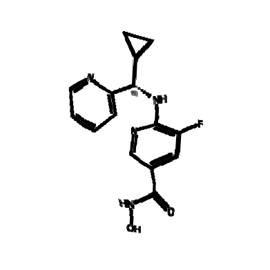 O=C(NO)c1cnc(N[C@H](c2ccccn2)C2CC2)c(F)c1